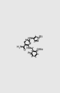 CCn1cc(Nc2ncc(C(N)=O)c(NCc3c(F)cccc3OC)n2)cn1